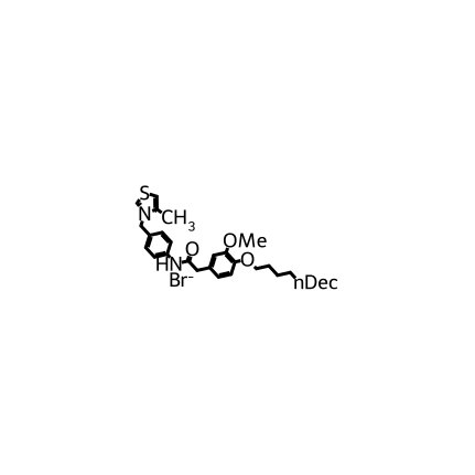 CCCCCCCCCCCCCCOc1ccc(CC(=O)Nc2ccc(C[n+]3cscc3C)cc2)cc1OC.[Br-]